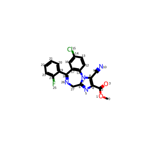 COC(=O)c1nc2n(c1C#N)-c1ccc(Cl)cc1C(c1ccccc1F)=NC2